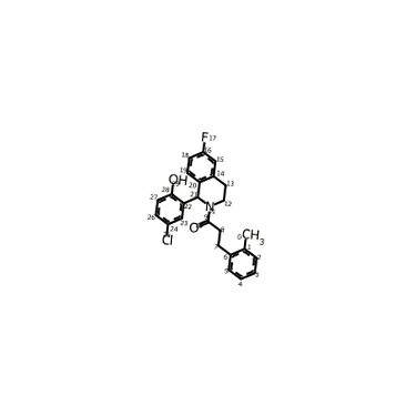 Cc1ccccc1CCC(=O)N1CCc2cc(F)ccc2C1c1cc(Cl)ccc1O